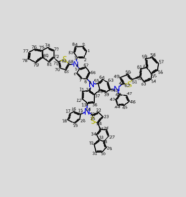 c1ccc(N(c2ccc(-n3c4ccc(N(c5ccccc5)c5ccc(-c6ccc7ccccc7c6)s5)cc4c4cc(N(c5ccccc5)c5ccc(-c6ccc7ccccc7c6)s5)ccc43)cc2)c2ccc(-c3ccc4ccccc4c3)s2)cc1